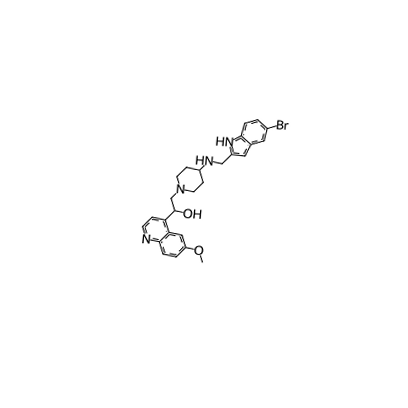 COc1ccc2nccc(C(O)CN3CCC(NCc4cc5cc(Br)ccc5[nH]4)CC3)c2c1